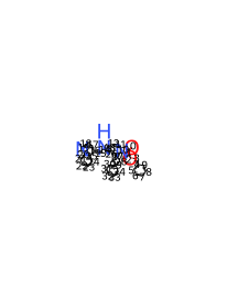 O=C(OCc1ccccc1)N1CC[C@H](NCc2ccnc3ccccc23)C[C@H]1Cc1ccccc1